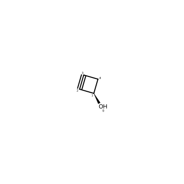 O[C@H]1C#CC1